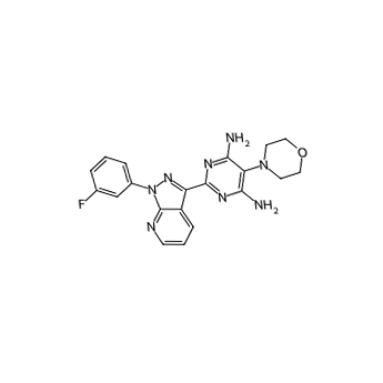 Nc1nc(-c2nn(-c3cccc(F)c3)c3ncccc23)nc(N)c1N1CCOCC1